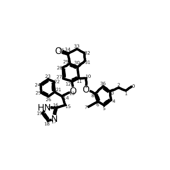 CCCc1ccc(C)c(OCc2c(OC(Cc3ncc[nH]3)c3ccccc3)ccc3c2CCCC3=O)c1